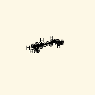 C[C@H](NC(=O)c1ccnc(CNC(=O)CCOCCOCCNC(=O)CCC(C(=O)O)N2CCN(C(=O)O)CCN(C(O)O)CC2)c1)C(=O)N1CC(F)(F)C[C@H]1C#N